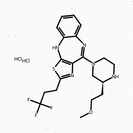 COCC[C@H]1CN(C2=Nc3ccccc3Nc3sc(CCC(F)(F)F)nc32)CCN1.Cl.Cl